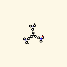 Cc1cccc(N(c2ccccc2)c2ccc(-c3ccc(C(c4ccc(-c5ccc(N(c6ccccc6)c6cccc(C)c6)cc5)cc4)c4ccc(-c5ccc(N(c6ccccc6)c6cccc(C)c6)cc5)cc4)cc3)cc2)c1